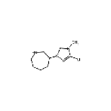 CN1CN(C2CCCCNC2)N=C1Cl